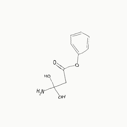 NC(O)(O)CC(=O)Oc1ccccc1